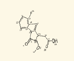 CON1C(=O)n2c(cc3c(F)cccc32)C1CC(=O)O